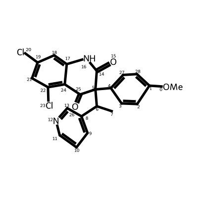 COc1ccc(C2(C(C)c3cccnc3)C(=O)Nc3cc(Cl)cc(Cl)c3C2=O)cc1